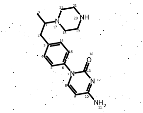 CC(Cc1ccc(-n2ccc(N)nc2=O)cc1)N1CCNCC1